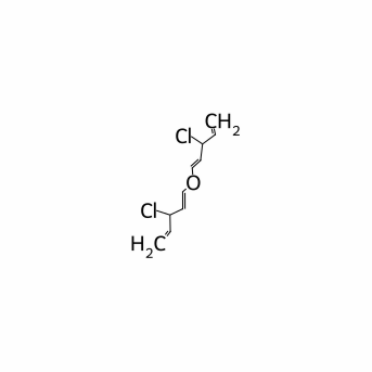 C=CC(Cl)/C=C/O/C=C/C(Cl)C=C